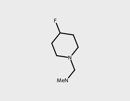 CNCN1CCC(F)CC1